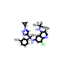 BC(Nc1cc(Cl)c2ncc(C#N)c(NC(B)(B)C(C)(C)C)c2c1)(c1cccc(C#N)c1)c1cn(C2CC2)nn1